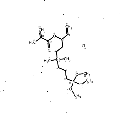 C=CC(CC[N+](C)(C)CCC[Si](OC)(OC)OC)OC(=O)C(=C)C.[Cl-]